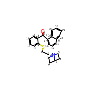 C1CN2CCC12.CCSc1ccccc1C(=O)c1cccc2ccccc12